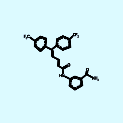 NC(=O)c1cccc(NC(=O)C=CC=C(c2ccc(C(F)(F)F)cc2)c2ccc(C(F)(F)F)cc2)c1